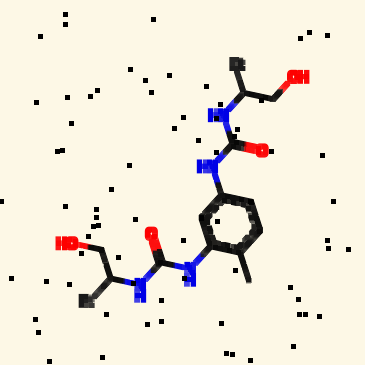 CCC(CO)NC(=O)Nc1ccc(C)c(NC(=O)NC(CC)CO)c1